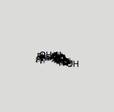 C[C@]1(O)CC[C@@]2(C)C(=CC[C@@H]3[C@@H]2CC[C@]2(C)C(C/C=C/C(O)C(F)(F)F)=CC[C@@H]32)C1